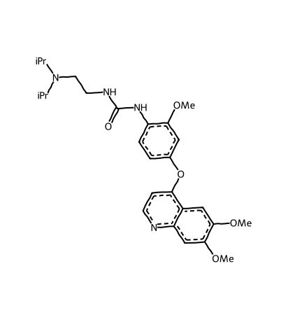 COc1cc(Oc2ccnc3cc(OC)c(OC)cc23)ccc1NC(=O)NCCN(C(C)C)C(C)C